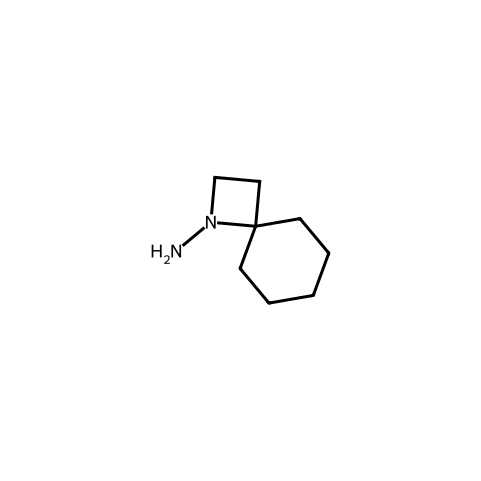 NN1CCC12CCCCC2